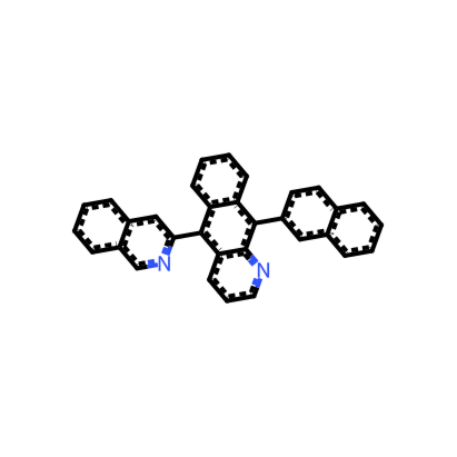 c1ccc2cc(-c3c4ccccc4c(-c4cc5ccccc5cn4)c4cccnc34)ccc2c1